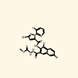 COC(=O)NNC(=O)c1cc2cc(Br)ccc2c(Cl)c1NC(=O)c1cc(Br)nn1-c1ncccc1Cl